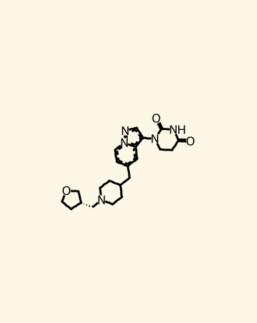 O=C1CCN(c2cnn3ccc(CC4CCN(C[C@@H]5CCOC5)CC4)cc23)C(=O)N1